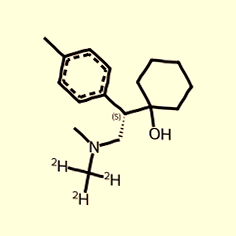 [2H]C([2H])([2H])N(C)C[C@H](c1ccc(C)cc1)C1(O)CCCCC1